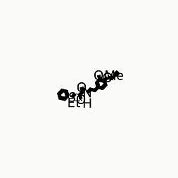 C#CCOc1ccc(CCNC(=O)[C@@H](CSc2ccccc2)OCC)cc1OC